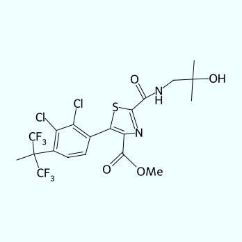 COC(=O)c1nc(C(=O)NCC(C)(C)O)sc1-c1ccc(C(C)(C(F)(F)F)C(F)(F)F)c(Cl)c1Cl